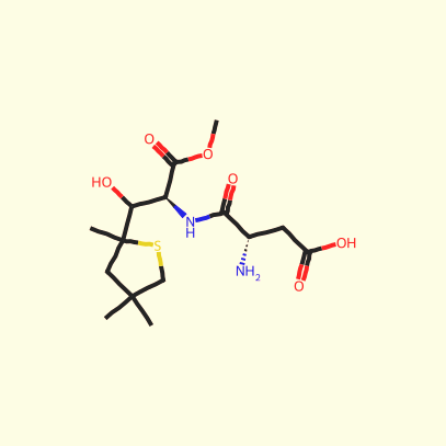 COC(=O)[C@@H](NC(=O)[C@@H](N)CC(=O)O)C(O)C1(C)CC(C)(C)CS1